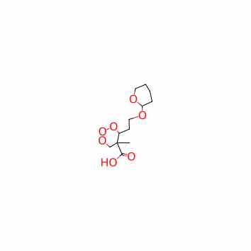 CC1(C(=O)O)COOOC1CCOC1CCCCO1